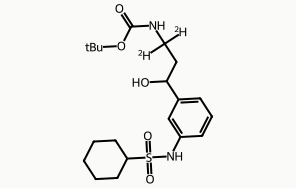 [2H]C([2H])(CC(O)c1cccc(NS(=O)(=O)C2CCCCC2)c1)NC(=O)OC(C)(C)C